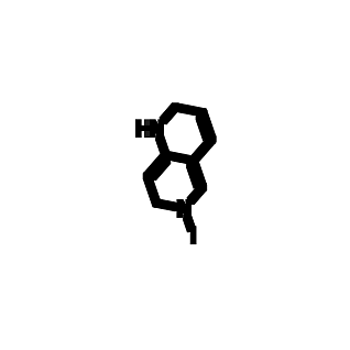 IN1C=C2C=CCNC2=CC1